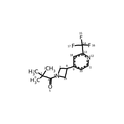 CC(C)(C)C(=O)N1CC(c2ccnc(C(F)(F)F)c2)C1